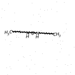 CCCCCCCCCCCCCCNCCCOCCCNCCCCCCCCCCCCCC